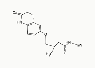 CCCNC(=O)CC(C)COc1ccc2c(c1)CCC(=O)N2